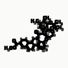 COC(=O)c1ccc2c(CN3C(=O)[C@@H](NC[C@H](C)N(C)C(=O)OC(C)(C)C)C4(CCOCC4)Oc4ccccc43)c(OC)ccc2c1